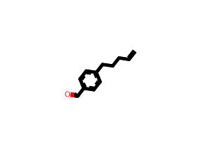 C=CCCCc1ccc([C]=O)cc1